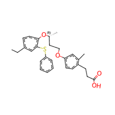 CCc1ccc(O[C@H](C)CCOc2ccc(CCC(=O)O)c(C)c2)c(Sc2ccccc2)c1